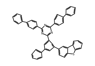 c1ccc(-c2ccc(-c3nc(-c4ccc(-c5ccccc5)cc4)nc(-c4cc(-c5ccccc5)cc(-c5ccc6sc7ccccc7c6c5)c4)n3)cc2)cc1